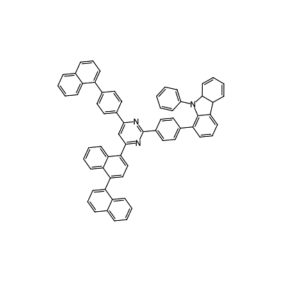 C1=CC2c3cccc(-c4ccc(-c5nc(-c6ccc(-c7cccc8ccccc78)cc6)cc(-c6ccc(-c7cccc8ccccc78)c7ccccc67)n5)cc4)c3N(c3ccccc3)C2C=C1